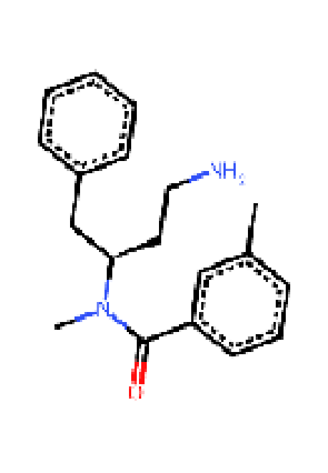 Cc1cccc(C(=O)N(C)[C@H](CCN)Cc2ccccc2)c1